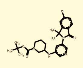 CC(C)(C)OC(=O)N1CCCC(Nc2cncc(N3C(=O)c4ccc(Cl)cc4C3(C)C)c2)C1